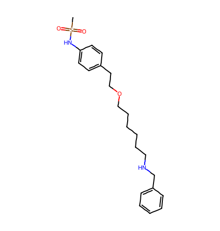 CS(=O)(=O)Nc1ccc(CCOCCCCCCNCc2ccccc2)cc1